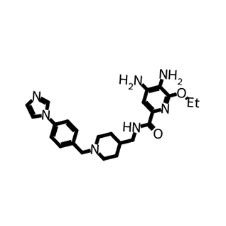 CCOc1nc(C(=O)NCC2CCN(Cc3ccc(-n4ccnc4)cc3)CC2)cc(N)c1N